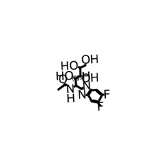 CC(=O)NC(c1nc2cc(F)c(F)cc2[nH]1)[C@@H](O)[C@H](O)C(O)CO